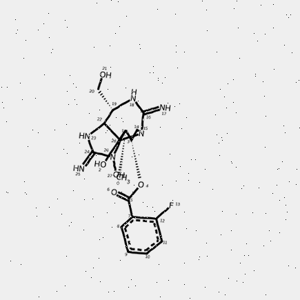 C[C@]1(O)[C@@H](OC(=O)c2ccccc2F)CN2C(=N)N[C@@H](CO)C3NC(=N)N(O)C321